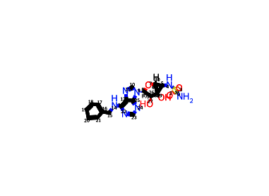 NS(=O)(=O)NC1[C@H]2O[C@@H](n3cnc4c(NCc5ccccc5)ncnc43)[C@H](O)[C@@]12O